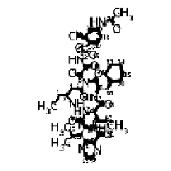 CC[C@H](N)CC(=O)N(C(=O)C(=O)NS(=O)(=O)c1ccc(NC(C)=O)cc1Cl)C(=O)[C@H](CC1CCCCC1)NC(=O)[C@@H](NC(=O)[C@H](CC(C)C)NC(=O)c1cnccn1)[C@@H](C)CC